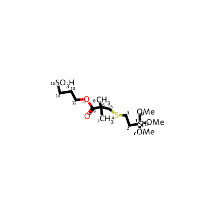 CO[Si](CCSCC(C)(C)C(=O)OCCCS(=O)(=O)O)(OC)OC